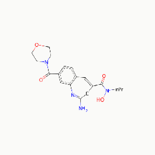 CCCN(O)C(=O)C1=Cc2ccc(C(=O)N3CCOCC3)cc2N=C(N)C1